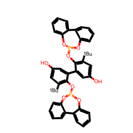 CC(C)(C)c1cc(O)cc(-c2cc(O)cc(C(C)(C)C)c2Op2oc3ccccc3c3ccccc3o2)c1Op1oc2ccccc2c2ccccc2o1